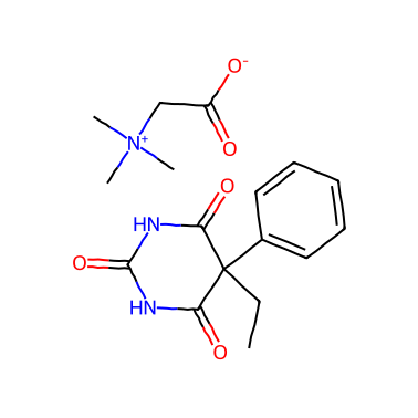 CCC1(c2ccccc2)C(=O)NC(=O)NC1=O.C[N+](C)(C)CC(=O)[O-]